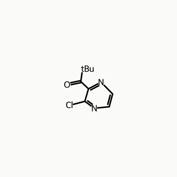 CC(C)(C)C(=O)c1nccnc1Cl